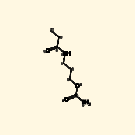 BC(=O)OCCCNC(=O)CC